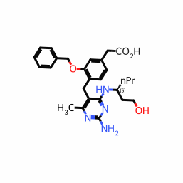 CCC[C@@H](CCO)Nc1nc(N)nc(C)c1Cc1ccc(CC(=O)O)cc1OCc1ccccc1